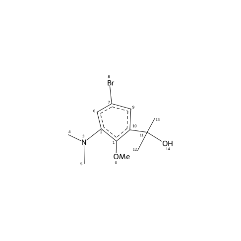 COc1c(N(C)C)cc(Br)cc1C(C)(C)O